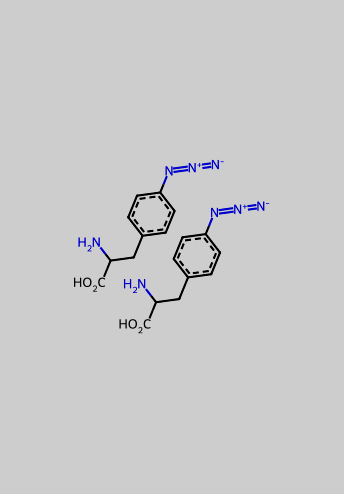 [N-]=[N+]=Nc1ccc(CC(N)C(=O)O)cc1.[N-]=[N+]=Nc1ccc(CC(N)C(=O)O)cc1